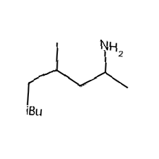 CCC(C)CC(C)CC(C)N